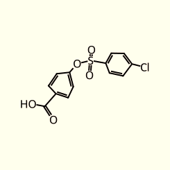 O=C(O)c1ccc(OS(=O)(=O)c2ccc(Cl)cc2)cc1